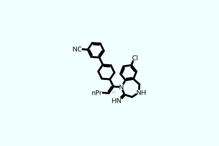 CCC/C=C(\C1CC=C(c2cccc(C#N)c2)CC1)N1C(=N)CNCc2cc(Cl)ccc21